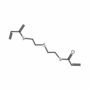 C=CC(=C)SCCSCCSC(=O)C=C